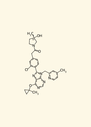 Cc1ccnc(Cn2c(-c3ccc(CC(=O)N4CC[C@](C)(O)C4)cc3Cl)nc3c(OC4(C)CC4)ncnc32)c1